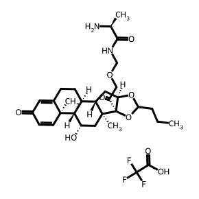 CCCC1O[C@@H]2C[C@H]3[C@@H]4CCC5=CC(=O)C=C[C@]5(C)[C@H]4[C@@H](O)C[C@]3(C)[C@]2(C(=O)COCNC(=O)[C@H](C)N)O1.O=C(O)C(F)(F)F